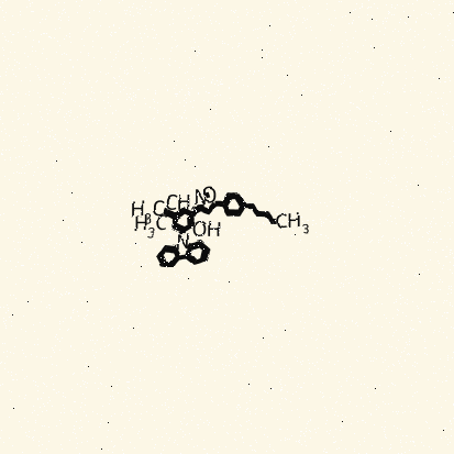 CCCCCc1ccc(C2CC(c3cc(C(C)(C)C)cc(-n4c5ccccc5c5ccccc54)c3O)=NO2)cc1